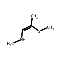 CN/C=C(/C)SC